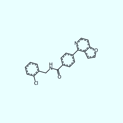 O=C(NCc1ccccc1Cl)c1ccc(-c2nccc3occc23)cc1